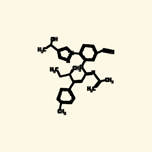 C=C(C)/N=C(\C=C(\c1ccc(C)cc1)[C@H](C)CC)Oc1cc(C#N)ccc1-n1cc(C(C)O)cn1